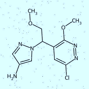 COCC(c1cc(Cl)nnc1OC)n1cc(N)cn1